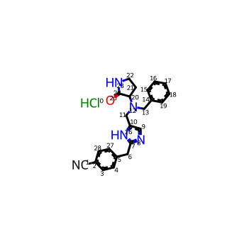 Cl.N#Cc1ccc(Cc2ncc(CN(Cc3ccccc3)C3CCNC3=O)[nH]2)cc1